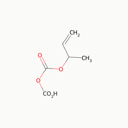 C=CC(C)OC(=O)OC(=O)O